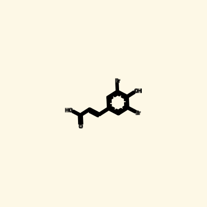 O=C(O)C=Cc1cc(Br)c(O)c(Br)c1